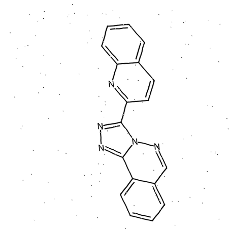 c1ccc2nc(-c3nnc4c5ccccc5cnn34)ccc2c1